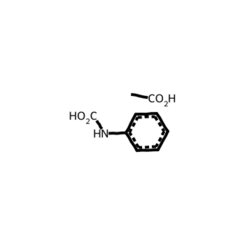 CC(=O)O.O=C(O)Nc1ccccc1